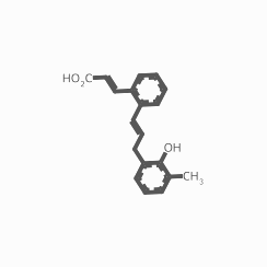 Cc1cccc(CC=Cc2ccccc2C=CC(=O)O)c1O